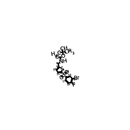 CC(C)(C)OC(=O)NCc1ccc(S(=O)(=O)c2ccc(F)c(Br)c2)s1